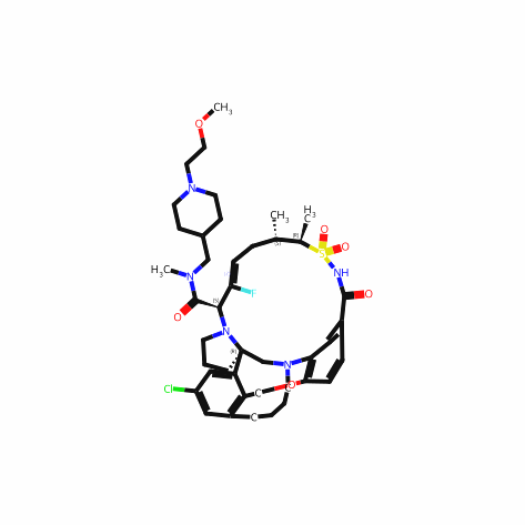 COCCN1CCC(CN(C)C(=O)[C@H]2/C(F)=C/C[C@H](C)[C@@H](C)S(=O)(=O)NC(=O)c3ccc4c(c3)N3CCCCc5cc(Cl)cc(c5CO4)[C@]4(CCCN24)C3)CC1